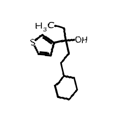 CCC(O)(CCC1CCCCC1)c1ccsc1